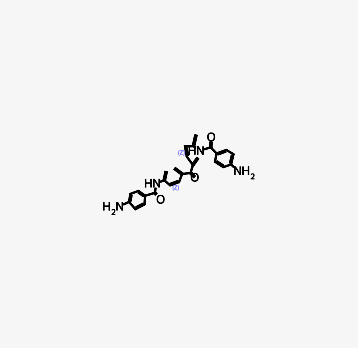 C=C(/C=C\C(=C)C(=O)C(=C)/C=C\C(=C)NC(=O)c1ccc(N)cc1)NC(=O)c1ccc(N)cc1